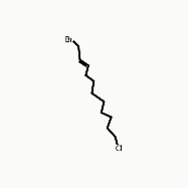 ClCCCCCCCCC=CCBr